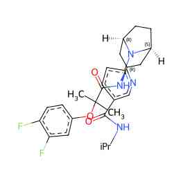 CC(C)NC(=O)c1ccc(N2[C@@H]3CC[C@H]2C[C@@H](NC(=O)C(C)(C)Oc2ccc(F)c(F)c2)C3)nc1